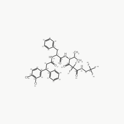 CC(C)[C@H](NC(=O)C(Cc1ccccc1)NC(=O)CC(c1ccccc1)c1ccc(Cl)c(Cl)c1)C(=O)C(F)(F)C(=O)NCC(F)(F)F